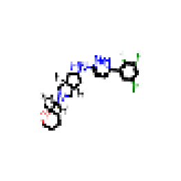 [2H]C([2H])(N1C[C@H]2CC(Nc3ccc(-c4cc(F)cc(F)c4F)nn3)C[C@H]2C1)C1(C)CCCCO1